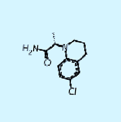 C[C@@H](C(N)=O)N1CCCc2cc(Cl)ccc21